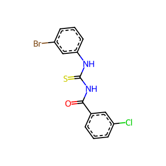 O=C(NC(=S)Nc1cccc(Br)c1)c1cccc(Cl)c1